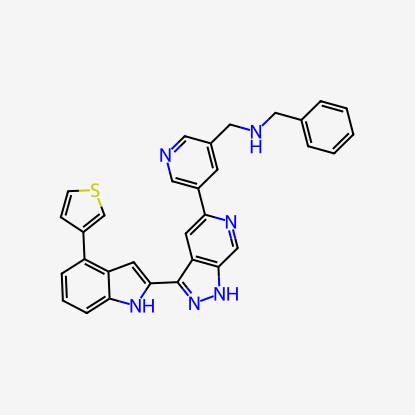 c1ccc(CNCc2cncc(-c3cc4c(-c5cc6c(-c7ccsc7)cccc6[nH]5)n[nH]c4cn3)c2)cc1